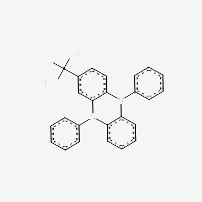 CC(C)(C)c1ccc2c(c1)N(c1ccccc1)c1ccccc1N2c1ccccc1